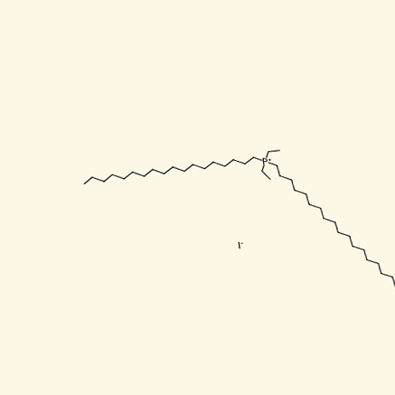 CCCCCCCCCCCCCCCCCC[P+](CC)(CC)CCCCCCCCCCCCCCCCCC.[I-]